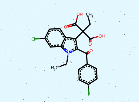 CCn1c(C(=O)c2ccc(F)cc2)c(C(CC)(C(=O)O)C(=O)O)c2ccc(Cl)cc21